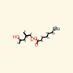 CC(O)CC(C)COOC(=O)CCCCCC(C)(C)C